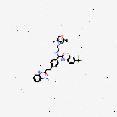 Nc1ccccc1NC(=O)C=Cc1ccc(C(NCCN2C[C@@H]3C[C@H]2CO3)C(=O)Nc2ccc(C(F)(F)F)cc2F)cc1